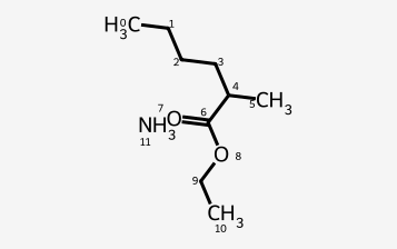 CCCCC(C)C(=O)OCC.N